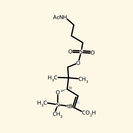 CC(=O)NCCCS(=O)(=O)OCC(C)(C)[C@H](/C=C/C(=O)O)O[Si](C)(C)C(C)(C)C